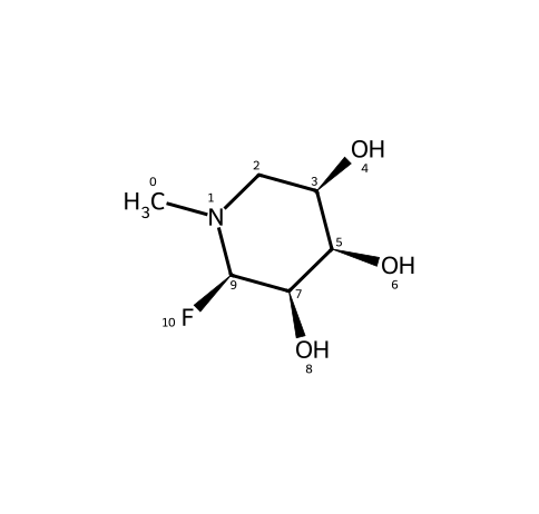 CN1C[C@@H](O)[C@@H](O)[C@@H](O)[C@H]1F